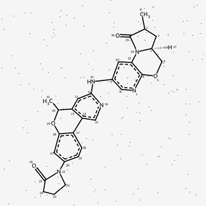 CC1C[C@H]2COc3ncc(Nc4cc5c(cn4)-c4ccc(N6CCCC6=O)cc4OC5C)cc3N2C1=O